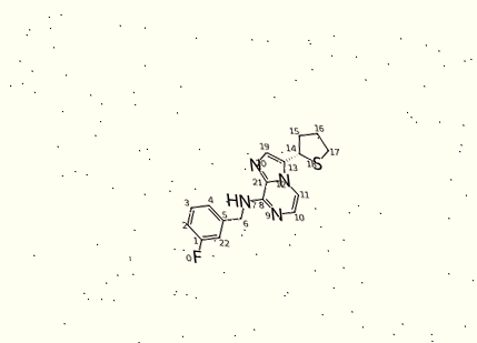 Fc1cccc(CNc2nccn3c([C@@H]4CCCS4)cnc23)c1